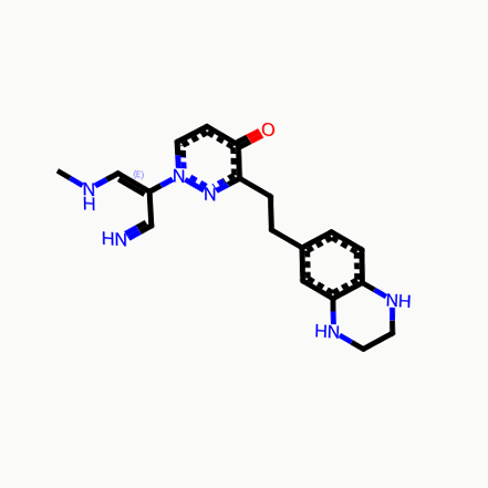 CN/C=C(\C=N)n1ccc(=O)c(CCc2ccc3c(c2)NCCN3)n1